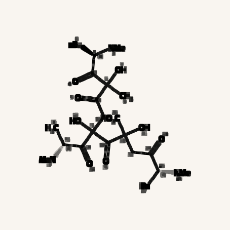 CCCC[C@@H](NC)C(=O)C(C)(O)C(=O)CC(O)(C(=O)[C@@H](C)NC)C(=O)C(O)(CC(=O)[C@H](NC)C(C)CC)C(=O)O